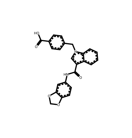 O=C(O)c1ccc(Cn2cc(C(=O)Nc3ccc4c(c3)OCO4)c3ccccc32)cc1